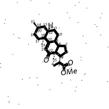 COC(=O)C(C)[C@H]1CCC2C3CC[C@@H]4C[C@H](C)CC[C@]4(C)C3=CC(=O)[C@@]21C